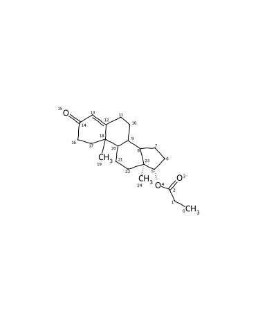 CCC(=O)O[C@H]1CCC2C3CCC4=CC(=O)CCC4(C)C3CC[C@@]21C